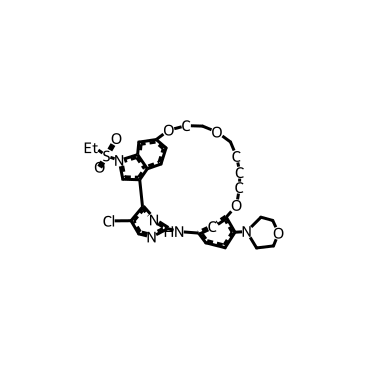 CCS(=O)(=O)n1cc2c3ccc(cc31)OCCOCCCCOc1cc(ccc1N1CCOCC1)Nc1ncc(Cl)c-2n1